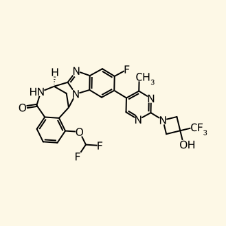 Cc1nc(N2CC(O)(C(F)(F)F)C2)ncc1-c1cc2c(cc1F)nc1n2C2C[C@H]1NC(=O)c1cccc(OC(F)F)c12